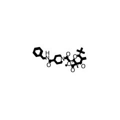 C=C1C(=O)[C@](C)(C(=O)OC)[C@@H](CC(=O)N2CCC(C(=O)NCc3ccccc3)CC2)O[C@H]1C(C)(C)C